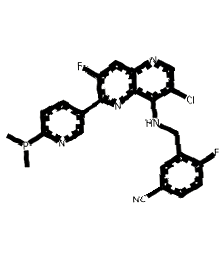 CP(C)c1ccc(-c2nc3c(NCc4cc(C#N)ccc4F)c(Cl)cnc3cc2F)cn1